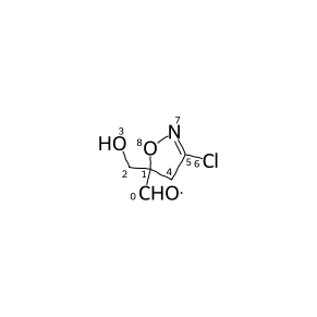 O=[C]C1(CO)CC(Cl)=NO1